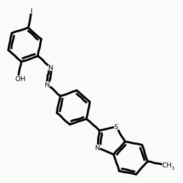 Cc1ccc2nc(-c3ccc(N=Nc4cc(I)ccc4O)cc3)sc2c1